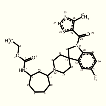 CCOC(=O)NC1CCCCC(N2CCC3(CC2)CN(C(=O)c2snnc2C)c2ccc(F)cc23)C1